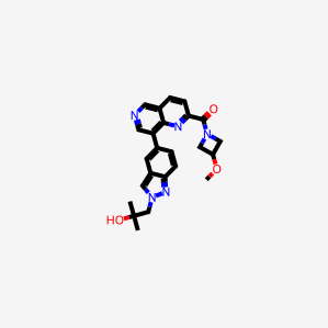 COC1CN(C(=O)c2ccc3cncc(-c4ccc5nn(CC(C)(C)O)cc5c4)c3n2)C1